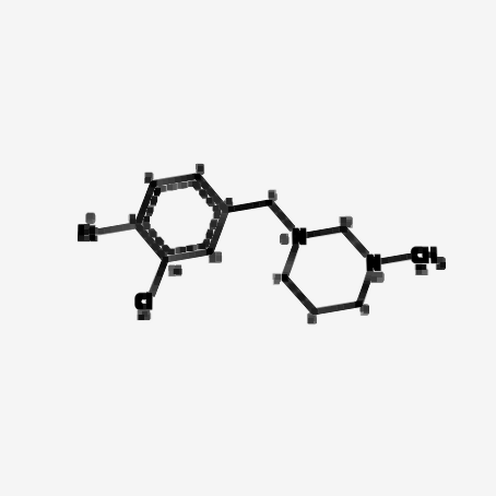 CCc1ccc(CN2CCCN(C)C2)cc1Cl